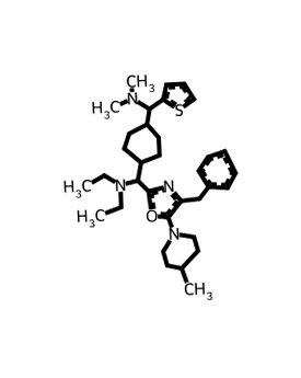 CCN(CC)C(c1nc(Cc2ccccc2)c(N2CCC(C)CC2)o1)C1CCC(C(c2cccs2)N(C)C)CC1